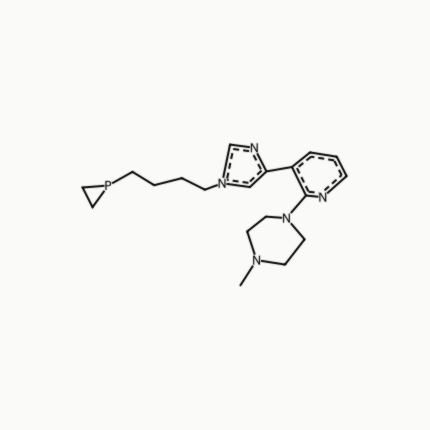 CN1CCN(c2ncccc2-c2cn(CCCCP3CC3)cn2)CC1